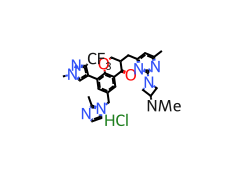 CNC1CN(c2nc(C)cc(CC3COc4c(cc(Cn5ccnc5C)cc4-c4cn(C)nc4C(F)(F)F)C3=O)n2)C1.Cl